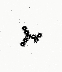 c1ccc(-c2ccc(-c3cc(-c4ccc5c(c4)c4cnccc4n5-c4ccccc4)nc(-c4ccc(-c5ccccc5)cc4)n3)cc2)cc1